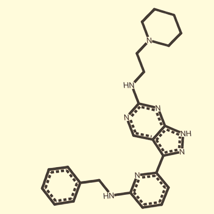 c1ccc(CNc2cccc(-c3n[nH]c4nc(NCCN5CCCCC5)ncc34)n2)cc1